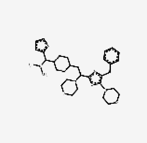 CN(C)C(c1cccs1)C1CCC(CC(c2nc(Cc3ccccc3)c(N3CCOCC3)o2)N2CCOCC2)CC1